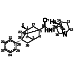 C[C@]12CC3CC(C(=O)N[C@H]4CN5CCC4CC5)(C1)C[C@@](c1ccccc1)(C3)C2